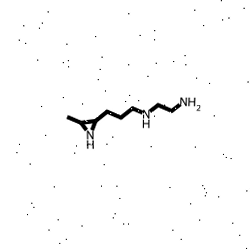 CC1NC1CCCNCCN